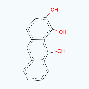 Oc1ccc2cc3ccccc3c(O)c2c1O